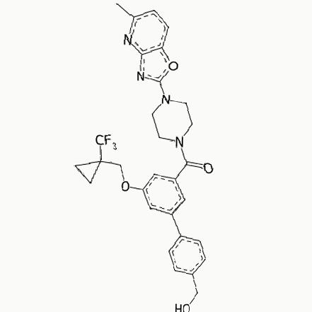 Cc1ccc2oc(N3CCN(C(=O)c4cc(OCC5(C(F)(F)F)CC5)cc(-c5ccc(CO)cc5)c4)CC3)nc2n1